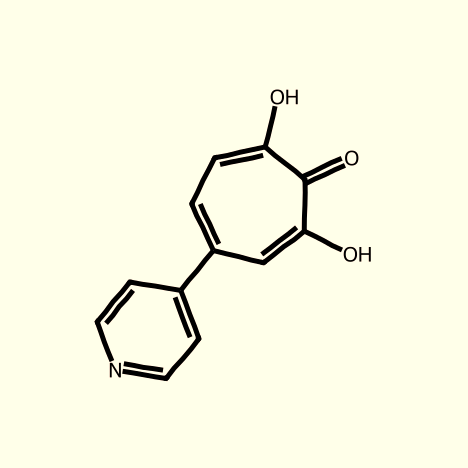 O=c1c(O)ccc(-c2ccncc2)cc1O